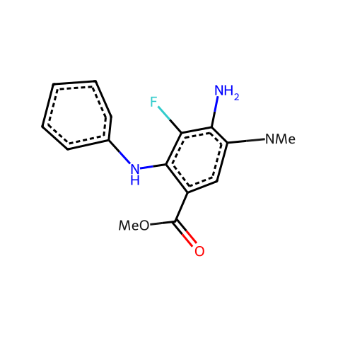 CNc1cc(C(=O)OC)c(Nc2ccccc2)c(F)c1N